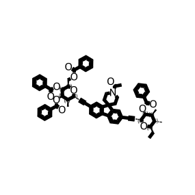 CC[C@H]1O[C@H](C#Cc2ccc3c(c2)C2(CCN(C(C)=O)CC2)c2cc(C#C[C@H]4O[C@H](COC(=O)c5ccccc5)[C@@H](OC(=O)c5ccccc5)[C@H](OC(=O)c5ccccc5)[C@@H]4C)ccc2-3)[C@@H](OC(=O)c2ccccc2)[C@@H](C)[C@@H]1C